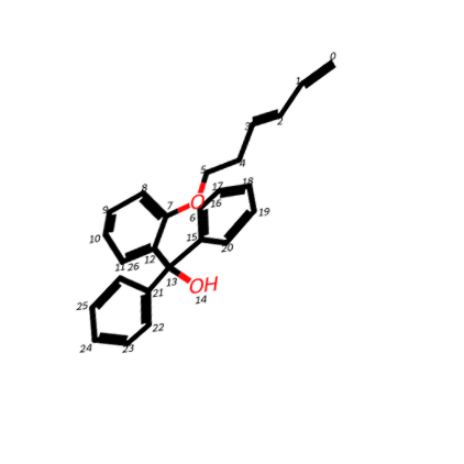 C=CC=CCCOc1ccccc1C(O)(c1ccccc1)c1ccccc1